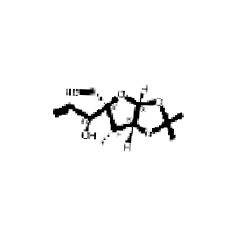 C=C[C@H](O)[C@@]1(CO)O[C@@H]2OC(C)(C)O[C@@H]2[C@@H]1C